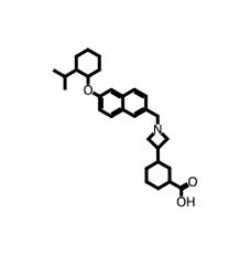 CC(C)C1CCCCC1Oc1ccc2cc(CN3CC(C4CCCC(C(=O)O)C4)C3)ccc2c1